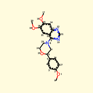 COc1ccc(C2CN(c3ncnc4cc(OC)c(OC)cc34)CCO2)cc1